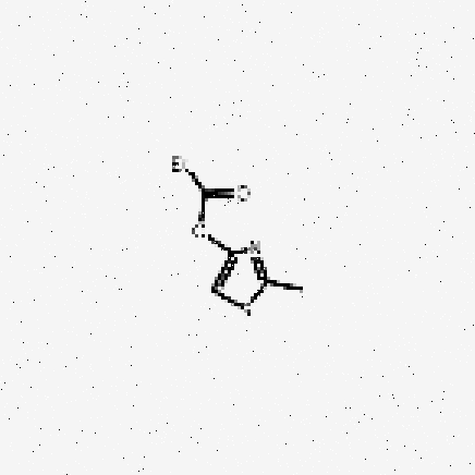 CCC(=O)Oc1csc(C)n1